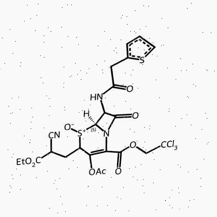 CCOC(=O)C(C#N)CC1C(OC(C)=O)=C(C(=O)OCC(Cl)(Cl)Cl)N2C(=O)C(NC(=O)Cc3cccs3)[C@@H]2[S+]1[O-]